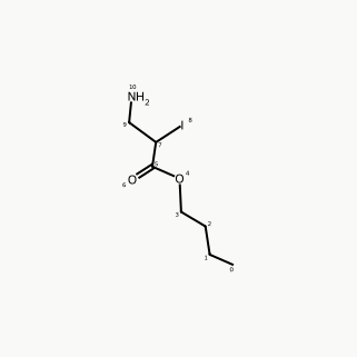 CCCCOC(=O)C(I)CN